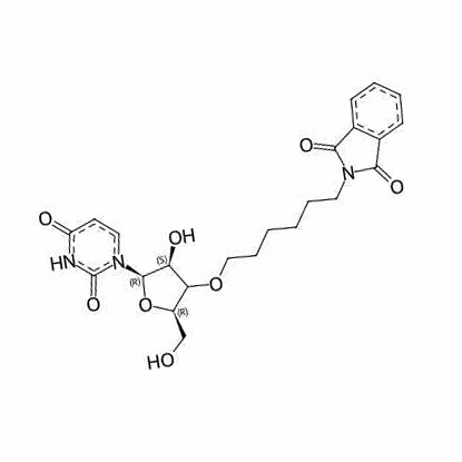 O=C1c2ccccc2C(=O)N1CCCCCCOC1[C@@H](CO)O[C@@H](n2ccc(=O)[nH]c2=O)[C@H]1O